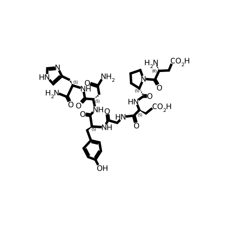 NC(=O)C[C@H](NC(=O)[C@H](Cc1ccc(O)cc1)NC(=O)CNC(=O)[C@H](CC(=O)O)NC(=O)[C@@H]1CCCN1C(=O)[C@H](N)CC(=O)O)C(=O)N[C@@H](Cc1c[nH]cn1)C(N)=O